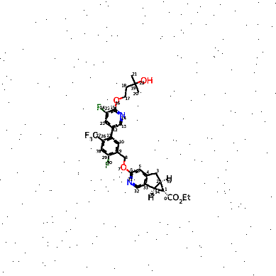 CCOC(=O)[C@H]1[C@@H]2Cc3cc(OCc4cc(-c5cnc(OCCC(C)(C)O)c(F)c5)c(C(F)(F)F)cc4F)ncc3[C@@H]21